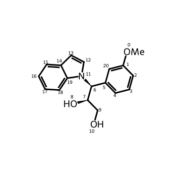 COc1cccc([C@@H]([C@H](O)CO)n2ccc3ccccc32)c1